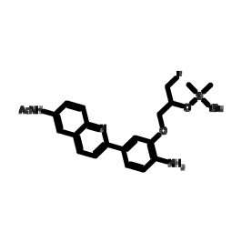 CC(=O)Nc1ccc2nc(-c3ccc(N)c(OCC(CF)O[Si](C)(C)C(C)(C)C)c3)ccc2c1